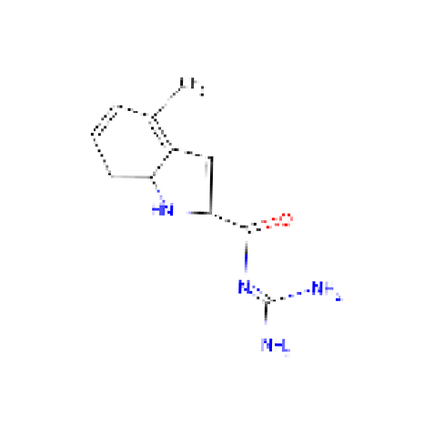 NC(N)=NC(=O)c1cc2c(C(F)(F)F)cccc2[nH]1